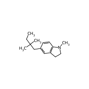 CCC(C)(C)Cc1ccc2c(c1)CCN2C